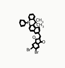 CC1(C)c2ccccc2N(c2ccccc2)c2ccc3cc(C=C4C(=O)c5cc(Br)c(Br)cc5C4=O)ccc3c21